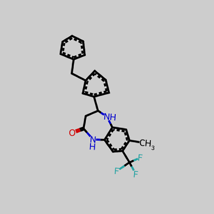 Cc1cc2c(cc1C(F)(F)F)NC(=O)CC(c1cccc(Cc3ccccc3)c1)N2